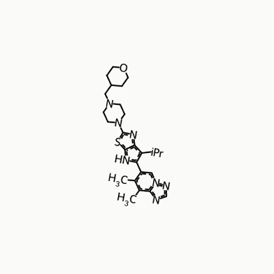 Cc1c(-c2[nH]c3sc(N4CCN(CC5CCOCC5)CC4)nc3c2C(C)C)cn2ncnc2c1C